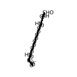 C[N+](C)(CCCC(=O)NCCOCCOCCOCCOCCOCCOCCOCCOCCC(=O)NCCCCCC(=O)NCCC=O)CCCS(=O)(=O)[O-]